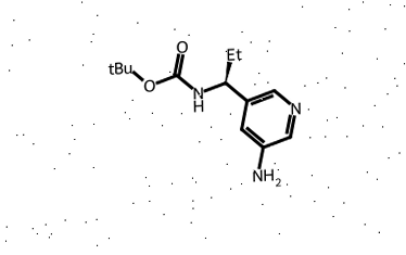 CC[C@H](NC(=O)OC(C)(C)C)c1cncc(N)c1